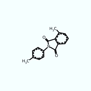 Cc1ccc(N2C(=O)c3cccc(C)c3C2=O)cc1